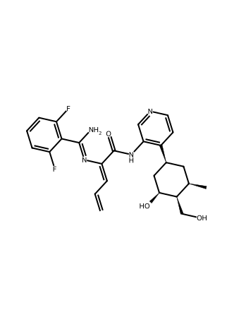 C=C/C=C(\N=C(/N)c1c(F)cccc1F)C(=O)Nc1cnccc1[C@H]1C[C@@H](C)[C@@H](CO)[C@@H](O)C1